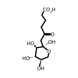 O=C(O)CCCC(=O)C[C@@]1(O)OC[C@@H](O)[C@H](O)[C@H]1O